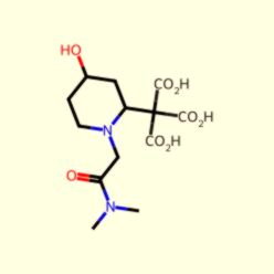 CN(C)C(=O)CN1CCC(O)CC1C(C(=O)O)(C(=O)O)C(=O)O